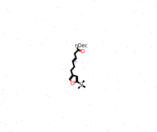 CCCCCCCCCCC(=O)C/C=C/CCc1coc([Si](C)(C)C)c1